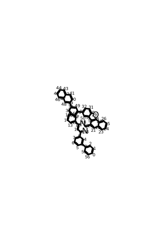 c1ccc(-c2cccc(-c3cc(-c4ccccc4)nc(-c4cc5ccccc5c5oc6ccc(-c7cccc(-c8ccc9ccccc9c8)c7)cc6c45)n3)c2)cc1